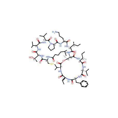 C/C=C1\NC(=O)[C@H](Cc2ccccc2)NC(=O)[C@@H](C(C)C)NC(=O)[C@@H]([C@@H](C)CC)NC(=O)[C@H](NC(=O)[C@H](NC(=O)[C@H](CCCN)NC(=O)[C@H]2CCCN2C(=O)[C@H](NC(=O)[C@@H](NC(=O)[C@@H](NC(=O)[C@H](CS)NC(=O)CCCC(C)C)[C@@H](C)O)C(C)C)C(C)C)[C@@H](C)CC)[C@@H](C)OC(=O)[C@H](C(C)C)NC1=O